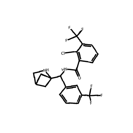 O=C(NC(c1cccc(C(F)(F)F)c1)C12CC(CN1)C2)c1cccc(C(F)(F)F)c1Cl